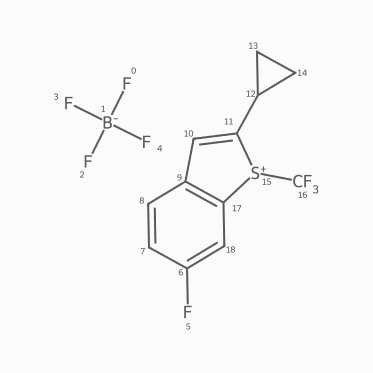 F[B-](F)(F)F.Fc1ccc2cc(C3CC3)[s+](C(F)(F)F)c2c1